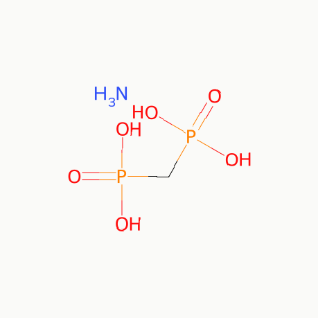 N.O=P(O)(O)CP(=O)(O)O